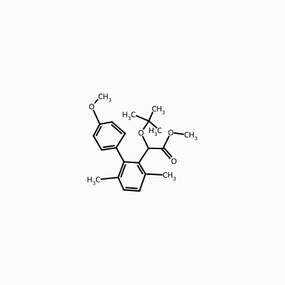 COC(=O)C(OC(C)(C)C)c1c(C)ccc(C)c1-c1ccc(OC)cc1